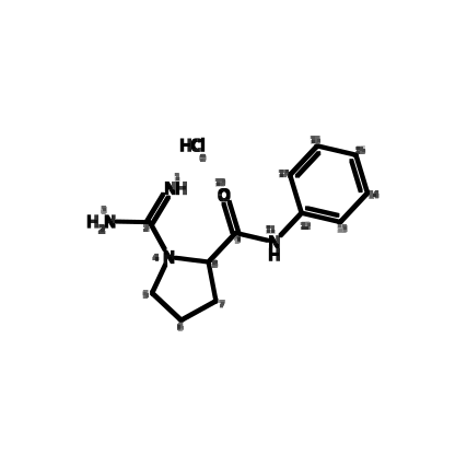 Cl.N=C(N)N1CCCC1C(=O)Nc1ccccc1